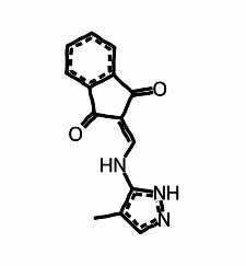 Cc1cn[nH]c1NC=C1C(=O)c2ccccc2C1=O